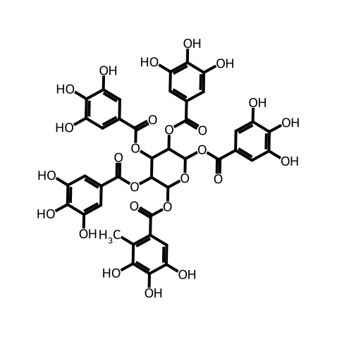 Cc1c(C(=O)OC2OC(OC(=O)c3cc(O)c(O)c(O)c3)C(OC(=O)c3cc(O)c(O)c(O)c3)C(OC(=O)c3cc(O)c(O)c(O)c3)C2OC(=O)c2cc(O)c(O)c(O)c2)cc(O)c(O)c1O